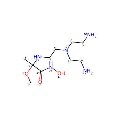 COC(C)(NCCN(CCN)CCN)C(=O)NO